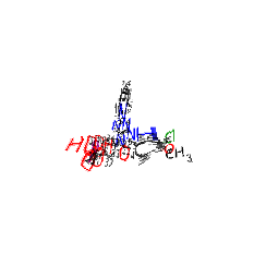 COc1ccc(CNc2nc(N3CC4CC4C3)ncc2N(C=O)C2CCC(OP(=O)(O)O)CC2)cc1Cl